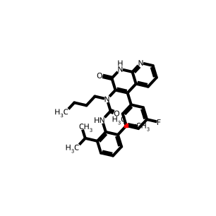 CCCCN(C(=O)Nc1c(C(C)C)cccc1C(C)C)c1c(-c2cccc(F)c2)c2cccnc2[nH]c1=O